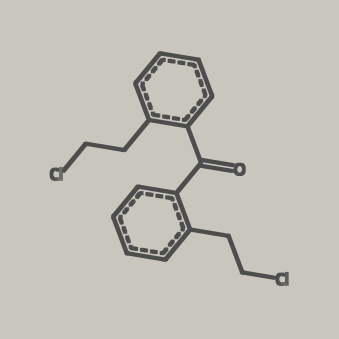 O=C(c1ccccc1CCCl)c1ccccc1CCCl